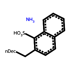 CCCCCCCCCCCc1ccc2ccccc2c1S(=O)(=O)O.N